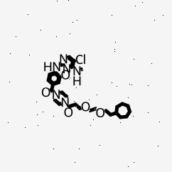 CNc1nc(Nc2ccc(C(=O)N3CCN(C(=O)CCOCCOCCC4CCCCCC4)CC3)cc2OC)ncc1Cl